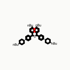 CCCCc1ccc(C(SC(c2ccc(CCCC)cc2)c2ccc([C@H]3CC[C@H](CCCC)CC3)cc2)c2ccc([C@H]3CC[C@H](CCCC)CC3)cc2)cc1